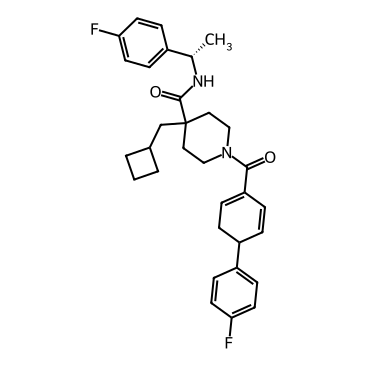 C[C@H](NC(=O)C1(CC2CCC2)CCN(C(=O)C2=CCC(c3ccc(F)cc3)C=C2)CC1)c1ccc(F)cc1